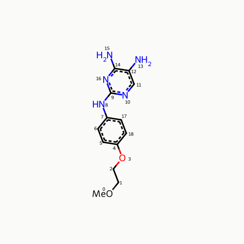 COCCOc1ccc(Nc2ncc(N)c(N)n2)cc1